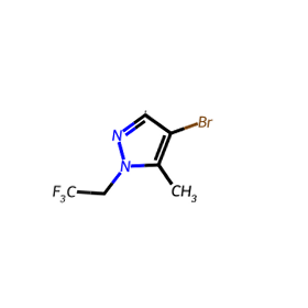 Cc1c(Br)[c]nn1CC(F)(F)F